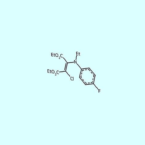 CCOC(=O)C(Cl)=C(C(=O)OCC)N(CC)c1ccc(F)cc1